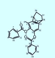 Cc1c(OC(=O)c2ccccc2)c(OC(=O)c2ccccc2)cc2c1C1CCC2O1